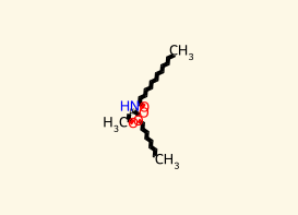 CCCCCCCCCCCCCC(=O)N[C@@H](CC(C)=O)C(=O)OCCCCCCCCC